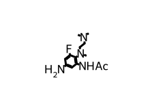 CC(=O)Nc1cc(N)cc(F)c1N(C)CCN(C)C